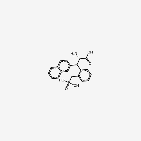 N[C@H](C(=O)O)C(c1ccc2ccccc2c1)c1ccccc1CP(=O)(O)O